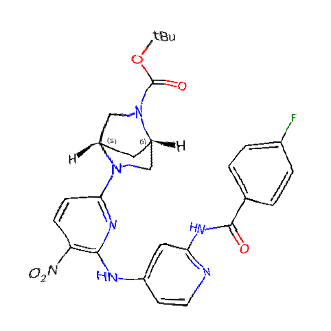 CC(C)(C)OC(=O)N1C[C@@H]2C[C@H]1CN2c1ccc([N+](=O)[O-])c(Nc2ccnc(NC(=O)c3ccc(F)cc3)c2)n1